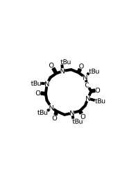 CC(C)(C)N1CC(=O)N(C(C)(C)C)CC(=O)N(C(C)(C)C)CC(=O)N(C(C)(C)C)CC(=O)N(C(C)(C)C)CC(=O)N(C(C)(C)C)CC1=O